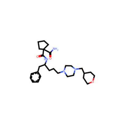 NC(=O)C1(C(=O)NC(CCCN2CCN(CC3CCOCC3)CC2)Cc2ccccc2)CCCC1